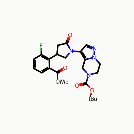 COC(=O)c1cccc(F)c1C1CC(=O)N(c2cnn3c2CN(C(=O)OC(C)(C)C)CC3)C1